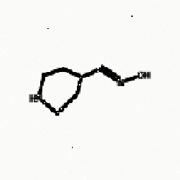 O/N=C/C1CCNCC1